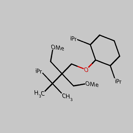 COCC(COC)(COC1C(C(C)C)CCCC1C(C)C)C(C)(C)C(C)C